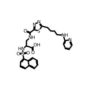 O=C(NCC(NS(=O)(=O)c1cccc2ccccc12)C(=O)O)c1nnc(CCCCNc2ccccn2)s1